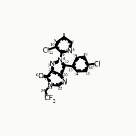 O=c1c2nn(-c3ncccc3Cl)c(-c3ccc(Cl)cc3)c2ncn1CC(F)(F)F